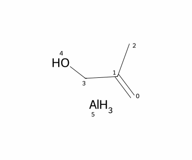 C=C(C)CO.[AlH3]